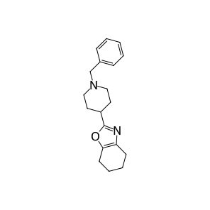 c1ccc(CN2CCC(c3nc4c(o3)CCCC4)CC2)cc1